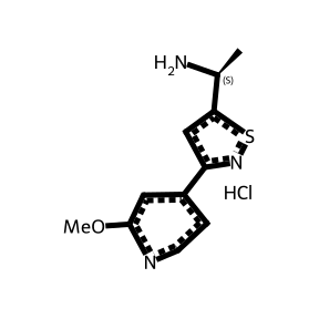 COc1cc(-c2cc([C@H](C)N)sn2)ccn1.Cl